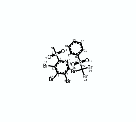 CS(=O)(=O)c1ncc(Br)c(Br)c1Br.O=S(=O)(c1ccccc1)C(Br)(Br)Br